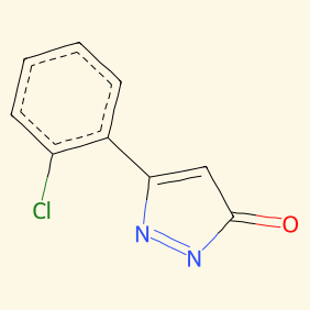 O=C1C=C(c2ccccc2Cl)N=N1